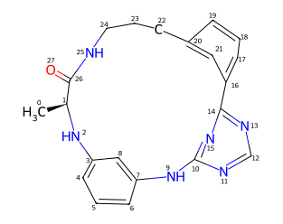 C[C@@H]1Nc2cccc(c2)Nc2ncnc(n2)-c2cccc(c2)CCCNC1=O